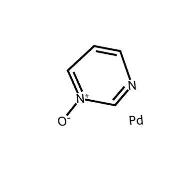 [O-][n+]1cccnc1.[Pd]